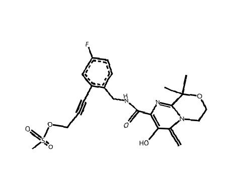 C=C1C(O)=C(C(=O)NCc2ccc(F)cc2C#CCOS(C)(=O)=O)N=C2N1CCOC2(C)C